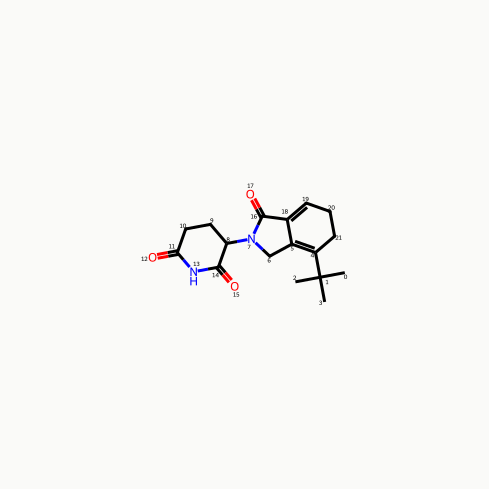 CC(C)(C)C1=C2CN(C3CCC(=O)NC3=O)C(=O)C2=CCC1